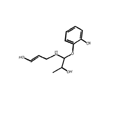 CC(O)C(NCC=CO)Oc1ccccc1C#N